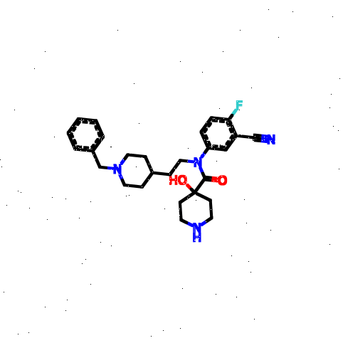 N#Cc1cc(N(CCC2CCN(Cc3ccccc3)CC2)C(=O)C2(O)CCNCC2)ccc1F